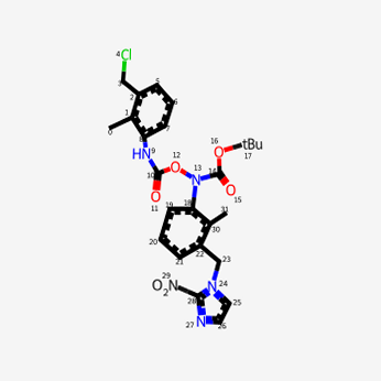 Cc1c(CCl)cccc1NC(=O)ON(C(=O)OC(C)(C)C)c1cccc(Cn2ccnc2[N+](=O)[O-])c1C